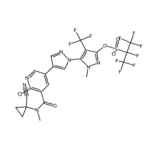 CN(C(=O)c1cc(-c2cnn(-c3c(C(F)(F)F)c(OS(=O)(=O)C(F)(C(F)(F)F)C(F)(F)F)nn3C)c2)cnc1Cl)C1(C#N)CC1